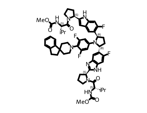 COC(=O)N[C@H](C(=O)N1CCC[C@H]1c1cc2cc([C@H]3CC[C@H](c4cc5nc([C@@H]6CCCN6C(=O)[C@@H](NC(=O)OC)C(C)C)[nH]c5cc4F)N3c3cc(F)c(N4CCC5(CCc6ccccc65)CC4)c(F)c3)c(F)cc2[nH]1)C(C)C